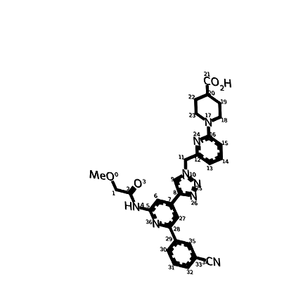 COCC(=O)Nc1cc(-c2cn(Cc3cccc(N4CCC(C(=O)O)CC4)n3)nn2)cc(-c2cccc(C#N)c2)n1